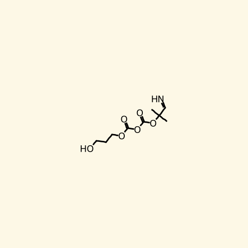 CC(C)(C=N)OC(=O)OC(=O)OCCCO